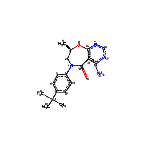 C[C@@H]1CN(c2ccc(C(C)(C)C(F)(F)F)cc2)C(=O)c2c(N)ncnc2O1